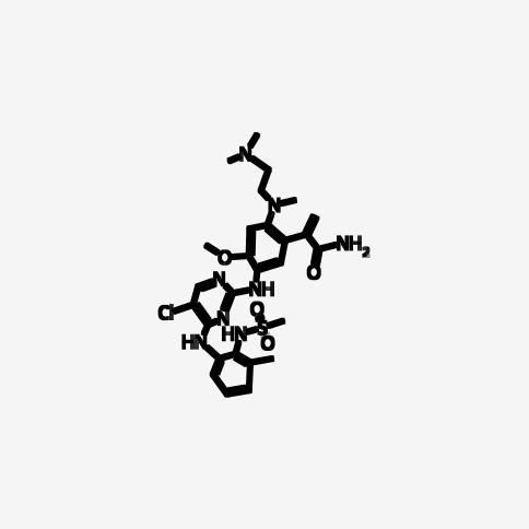 C=C(C(N)=O)c1cc(Nc2ncc(Cl)c(Nc3cccc(C)c3NS(C)(=O)=O)n2)c(OC)cc1N(C)CCN(C)C